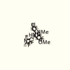 CNC(=O)C(N[C@@H](CCc1c(F)nc(C)c(F)c1F)c1ccc(F)c(OC)c1)c1ccc(Cl)cc1